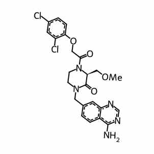 COC[C@H]1C(=O)N(Cc2ccc3c(N)ncnc3c2)CCN1C(=O)COc1ccc(Cl)cc1Cl